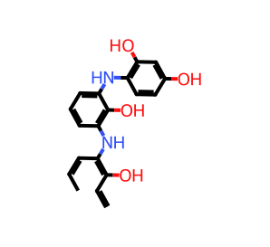 C=C/C(O)=C(\C=C/C)Nc1cccc(Nc2ccc(O)cc2O)c1O